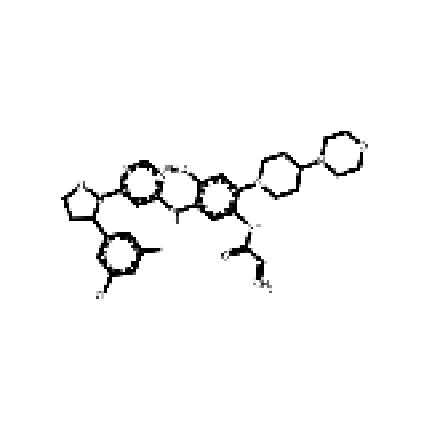 C=CC(=O)Nc1cc(Nc2cc(N3OCCC3c3cc(F)cc(Cl)c3)ncn2)c(OC)cc1N1CCC(N2CCOCC2)CC1